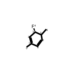 CC1=C[C@@H](F)C(C)C=C1